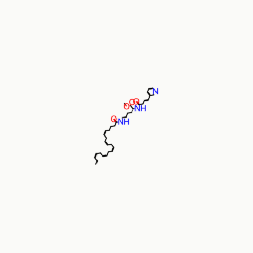 CC/C=C\C/C=C\C/C=C\C/C=C\C/C=C\CCCC(=O)NCCCC[C@H](NC(=O)C/C=C/c1cccnc1)C(=O)OC